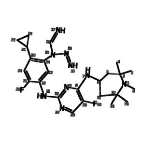 CN1C(C)(C)CC(Nc2nc(Nc3cc(N(C=N)N=N)c(C4CC4)cc3F)ncc2F)CC1(C)C